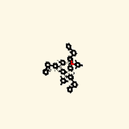 Cc1cc(C)c(N2c3cc4c(cc3B3c5cc6c(cc5Oc5cc(-c7cccc8c7oc7ccccc78)cc2c53)N(c2c(C)cc(C)cc2C)c2cc(-c3cccc5c3oc3ccccc35)cc3c2B6c2ccccc2O3)B2c3ccccc3Oc3cc(-c5cccc6c5oc5ccccc56)cc(c32)N4)c(C)c1